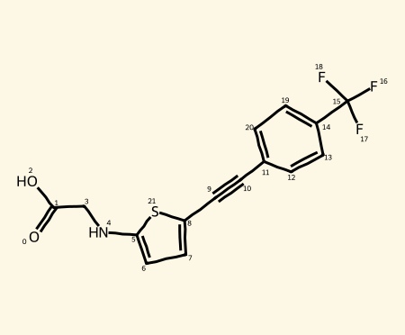 O=C(O)CNc1ccc(C#Cc2ccc(C(F)(F)F)cc2)s1